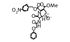 COC(=O)C1=C(C(=O)OCc2ccc([N+](=O)[O-])cc2)N2C(=O)C(NC(=O)COc3ccccc3)[C@@H]2[S+]([O-])C1